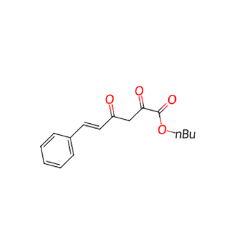 CCCCOC(=O)C(=O)CC(=O)C=Cc1ccccc1